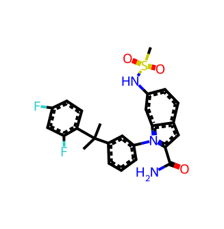 CC(C)(c1cccc(-n2c(C(N)=O)cc3ccc(NS(C)(=O)=O)cc32)c1)c1ccc(F)cc1F